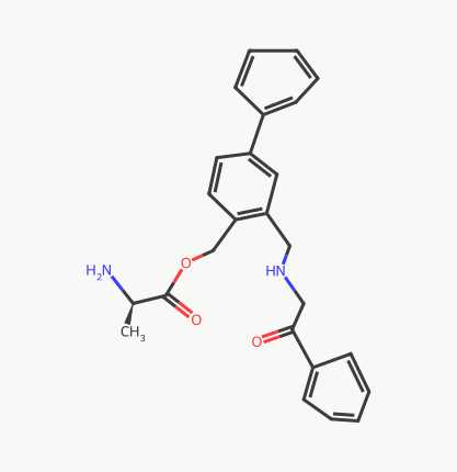 C[C@@H](N)C(=O)OCc1ccc(-c2ccccc2)cc1CNCC(=O)c1ccccc1